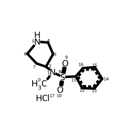 CN(C1CCNCC1)S(=O)(=O)c1ccccc1.Cl